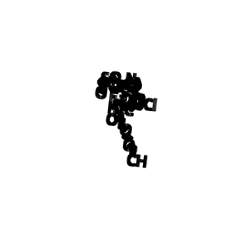 C#CCOCCOCCC(=O)N1C[C@H](F)[C@H](Oc2c(C)cc(Cl)cc2-c2ccnc3cc(CN4C(=O)CSC4=O)sc23)C1